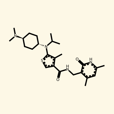 Cc1cc(C)c(CNC(=O)c2csc(N(C(C)C)[C@H]3CC[C@H](N(C)C)CC3)c2C)c(=O)[nH]1